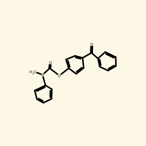 CN(C(=O)Oc1ccc(C(=O)c2ccccc2)cc1)c1ccccc1